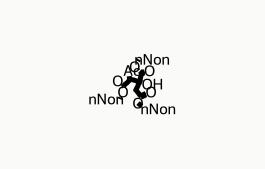 CCCCCCCCCOC(=O)CC(O)(C(=O)OCCCCCCCCC)C(C(C)=O)C(=O)OCCCCCCCCC